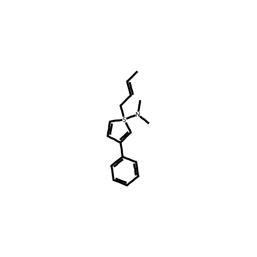 CC=CCS1(N(C)C)C=CC(c2ccccc2)=C1